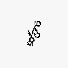 S=NN(CCN(Cc1ccccn1)Cc1ccccn1)c1ccc2ncsc2c1